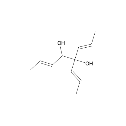 CC=CC(O)C(O)(C=CC)C=CC